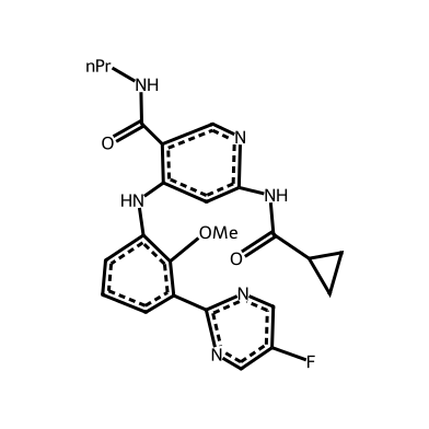 CCCNC(=O)c1cnc(NC(=O)C2CC2)cc1Nc1cccc(-c2ncc(F)cn2)c1OC